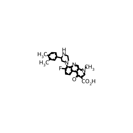 Cc1ccc(C2CN(c3c(F)ccc4c3ncc3c4c(=O)c(C(=O)O)cn3C)CCN2)cc1C